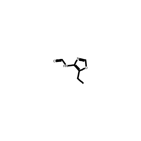 CCc1ocnc1NC=O